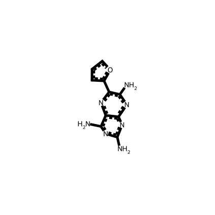 Nc1nc(N)c2nc(-c3ccco3)c(N)nc2n1